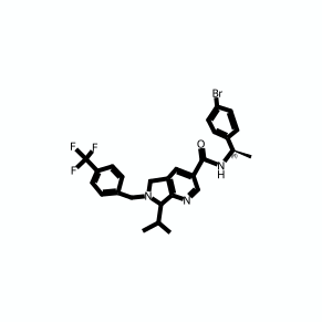 CC(C)C1c2ncc(C(=O)N[C@H](C)c3ccc(Br)cc3)cc2CN1Cc1ccc(C(F)(F)F)cc1